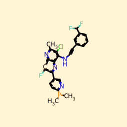 Cc1nc2cc(F)c(-c3ccc(P(C)C)nc3)nc2c(NC#Cc2cccc(C(F)F)c2)c1Cl